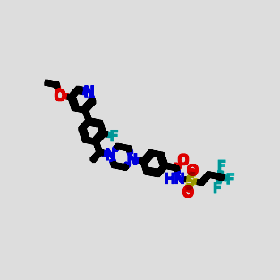 CCOc1cncc(-c2ccc(C(C)N3CCN(c4ccc(C(=O)NS(=O)(=O)CCC(F)(F)F)cc4)CC3)c(F)c2)c1